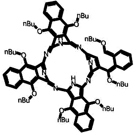 CCCCO/C=c1\cccc\c1=C(/OCCCC)C1=Cc2nc1nc1[nH]c(nc3nc(nc4[nH]c(n2)c2c(OCCCC)c5ccccc5c(OCCCC)c42)-c2c-3c(OCCCC)c3ccccc3c2OCCCC)c2c(OCCCC)c3ccccc3c(OCCCC)c12